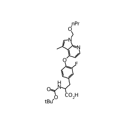 CCCOCn1cc(C)c2c(Oc3ccc(CC(NC(=O)OC(C)(C)C)C(=O)O)cc3F)ccnc21